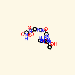 Nc1nnc(-c2ccccc2O)cc1N1CC2CCC(C1)N2c1cccc(CN2CCC(C(=O)N3CCN(c4ccc5c(c4)C(=O)N(C4CCC(=O)NC4=O)C5=O)CC3)CC2)c1